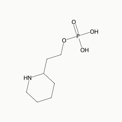 O=P(O)(O)OCCC1CCCCN1